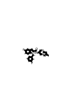 Cc1cc2ncc(NC(=O)c3cc4cc(F)ccc4n3Cc3cccc(F)c3)cn2n1